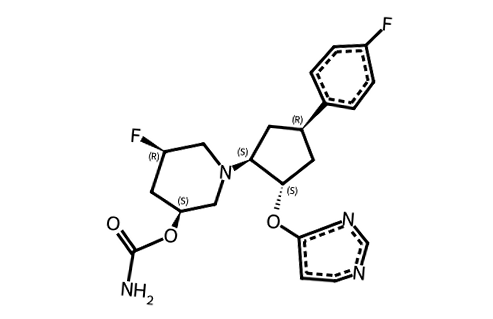 NC(=O)O[C@H]1C[C@@H](F)CN([C@H]2C[C@@H](c3ccc(F)cc3)C[C@@H]2Oc2ccncn2)C1